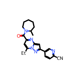 CCc1cc(C(=O)N2CCCCCC2C)nc2cc(-c3ccc(C#N)nc3)nn12